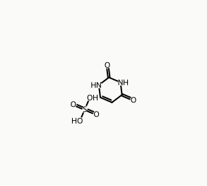 O=S(=O)(O)O.O=c1cc[nH]c(=O)[nH]1